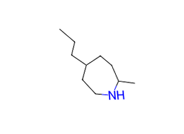 CCCC1CCNC(C)CC1